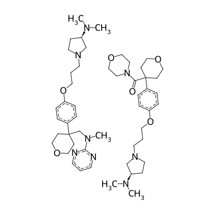 CN(C)[C@@H]1CCN(CCCOc2ccc(C3(C(=O)N4CCOCC4)CCOCC3)cc2)C1.CN(CC1(c2ccc(OCCCN3CC[C@@H](N(C)C)C3)cc2)CCOCC1)c1ncccn1